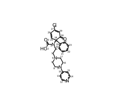 O=C(O)N(CCN1CCN(c2ccncc2)CC1)[C@@]1(c2ccccc2)C=CC(Cl)=CC1=O